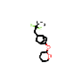 CC(F)(F)CC1CC2CC1CC2OC1CCCCO1